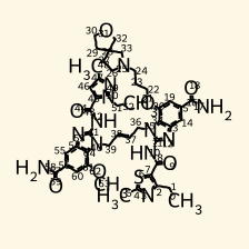 CCc1nc(C)sc1C(=O)Nc1nc2cc(C(N)=O)cc(OCCCN3CCC4(CCOC4)C3)c2n1C/C=C/Cn1c(NC(=O)c2cc(C)nn2CC)nc2cc(C(N)=O)cc(OC)c21